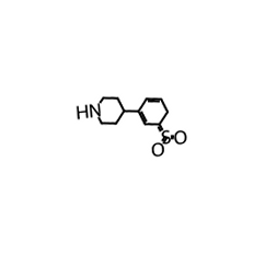 O=S(=O)=C1C=C(C2CCNCC2)C=CC1